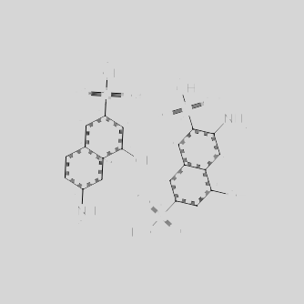 Nc1cc2c(O)cc(S(=O)(=O)O)cc2cc1S(=O)(=O)O.Nc1ccc2cc(S(=O)(=O)O)cc(O)c2c1